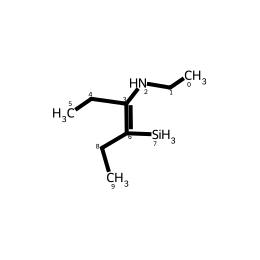 CCNC(CC)=C([SiH3])CC